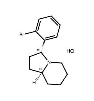 Brc1ccccc1[C@H]1CC[C@@H]2CCCCN21.Cl